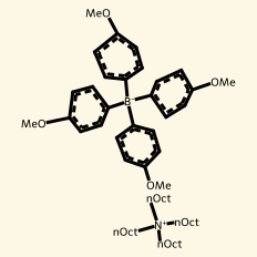 CCCCCCCC[N+](CCCCCCCC)(CCCCCCCC)CCCCCCCC.COc1ccc([B-](c2ccc(OC)cc2)(c2ccc(OC)cc2)c2ccc(OC)cc2)cc1